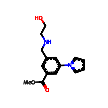 COC(=O)c1cc(CNCCO)cc(-n2cccc2)c1